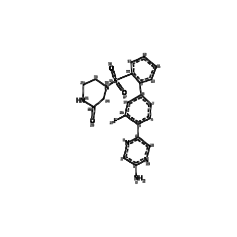 Nc1cnc(-c2ccc(-c3ccccc3S(=O)(=O)N3CCNC(=O)C3)cc2F)cn1